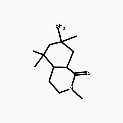 BC1(C)CC2C(=S)N(C)CCC2C(C)(C)C1